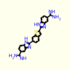 N=C(N)c1ccc2[nH]c(-c3ccc4cc(-c5nc6cc(C(=N)N)ccc6[nH]5)sc4c3)nc2c1